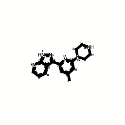 Cc1cc(-c2n[nH]c3ncccc23)nc(N2CCNCC2)c1